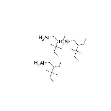 CCC([CH2][AlH2])C(C)(C)CC.CCC([CH2][AlH2])C(C)(C)CC.CCC([CH2][AlH2])C(C)(C)CC